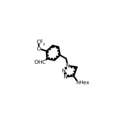 CCCCCCc1cn(Cc2ccc(OC(F)(F)F)c(C=O)c2)nn1